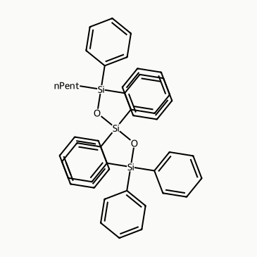 [CH2]CCCC[Si](O[Si](O[Si](c1ccccc1)(c1ccccc1)c1ccccc1)(c1ccccc1)c1ccccc1)(c1ccccc1)c1ccccc1